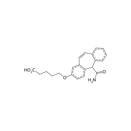 NC(=O)C1c2ccccc2C=Cc2cc(OCCCCC(=O)O)ccc21